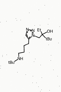 CCC(O)(Cn1nncc1CCCCNC(C)(C)C)C(C)(C)C